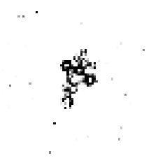 O=C1NC(=O)c2c1c1c3ccccc3n3c1c1c2c2ccccc2n1CC(OC(=O)N1CCOCC1)CC3